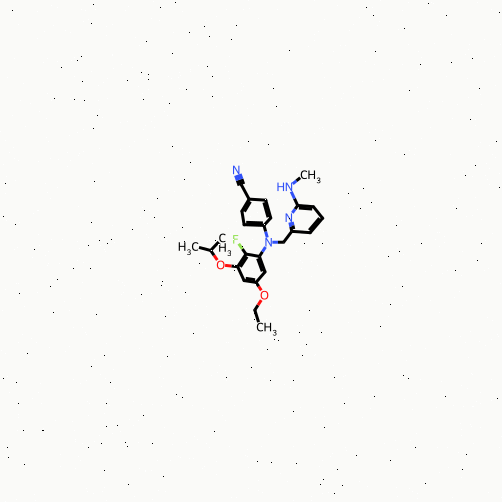 CCOc1cc(OC(C)C)c(F)c(N(Cc2cccc(NC)n2)c2ccc(C#N)cc2)c1